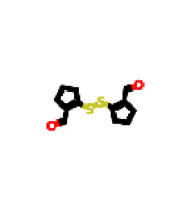 O=CC1=C(SSC2=C(C=O)CCC2)CCC1